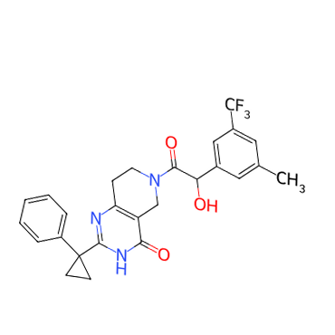 Cc1cc(C(O)C(=O)N2CCc3nc(C4(c5ccccc5)CC4)[nH]c(=O)c3C2)cc(C(F)(F)F)c1